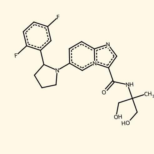 CC(CO)(CO)NC(=O)c1cnc2ccc(N3CCCC3c3cc(F)ccc3F)cn12